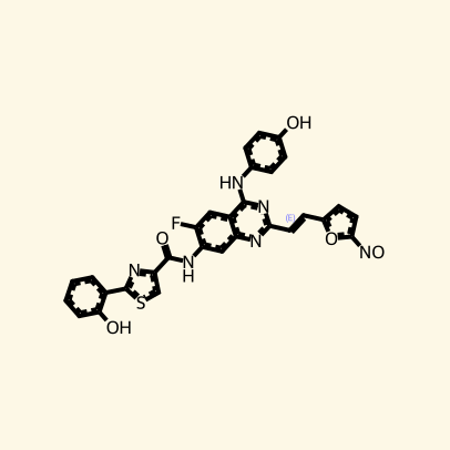 O=Nc1ccc(/C=C/c2nc(Nc3ccc(O)cc3)c3cc(F)c(NC(=O)c4csc(-c5ccccc5O)n4)cc3n2)o1